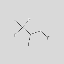 CC(F)(F)C(I)CF